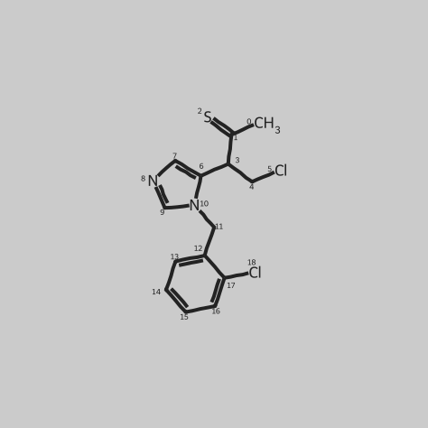 CC(=S)C(CCl)c1cncn1Cc1ccccc1Cl